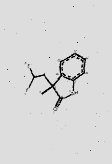 CC1(CC(F)F)C(=O)Nc2ccccc21